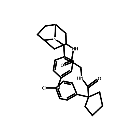 O=C(CNC(=O)C1(c2ccc(Cl)cc2)CCCC1)NC1CC2CCC(C1)N2Cc1ccc(Cl)cc1